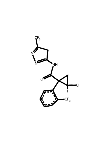 O=C(NC1=NN=C(C(F)(F)F)C1)C1(c2ccccc2C(F)(F)F)CC1(Cl)I